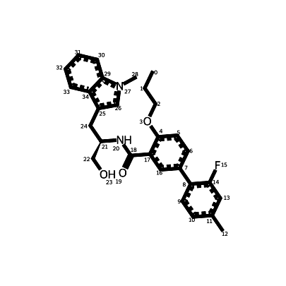 CCCOc1ccc(-c2ccc(C)cc2F)cc1C(=O)N[C@@H](CO)Cc1cn(C)c2ccccc12